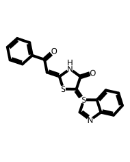 O=C1NC(=CC(=O)c2ccccc2)SC1=S1C=Nc2ccccc21